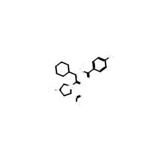 O=C(N[C@H](C(=O)N1C[C@H](O)C[C@H]1C(=O)O)C1CCCCC1)c1ccc(Br)cc1